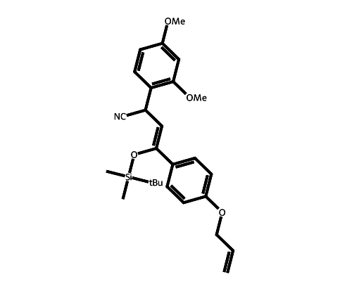 C=CCOc1ccc(C(=CC(C#N)c2ccc(OC)cc2OC)O[Si](C)(C)C(C)(C)C)cc1